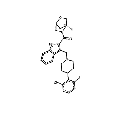 O=C(c1[nH]c2ccccc2c1CN1CCC(c2c(F)cccc2Cl)CC1)N1CC2C[C@H]1CO2